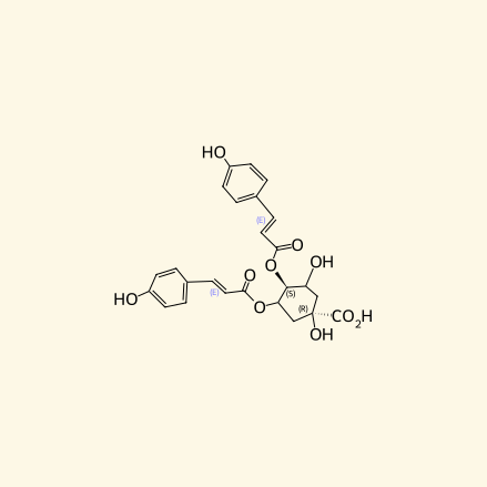 O=C(/C=C/c1ccc(O)cc1)OC1C[C@@](O)(C(=O)O)CC(O)[C@@H]1OC(=O)/C=C/c1ccc(O)cc1